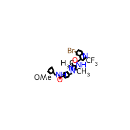 COc1ccccc1CNC(=O)c1ccc(Cn2nc(C)c(NC(=O)c3cc(C(F)(F)F)nc4ccc(Br)cc34)c2C)cc1